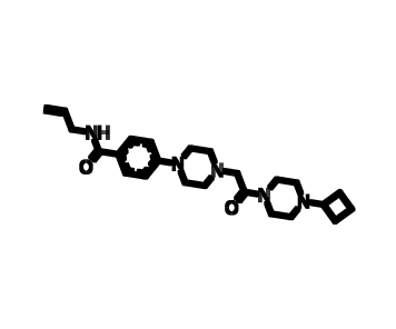 C=CCNC(=O)c1ccc(N2CCN(CC(=O)N3CCN(C4CCC4)CC3)CC2)cc1